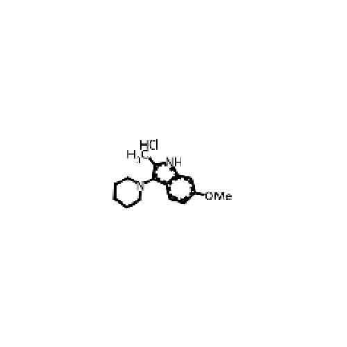 COc1ccc2c(N3CCCCC3)c(C)[nH]c2c1.Cl